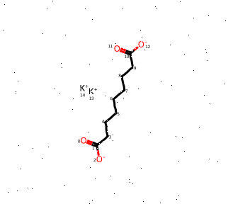 O=C([O-])CCCCCCCC(=O)[O-].[K+].[K+]